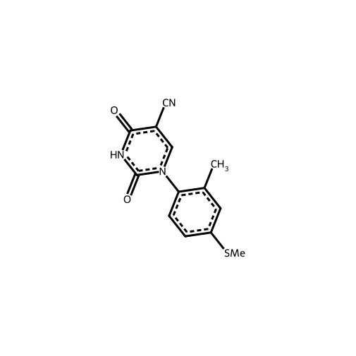 CSc1ccc(-n2cc(C#N)c(=O)[nH]c2=O)c(C)c1